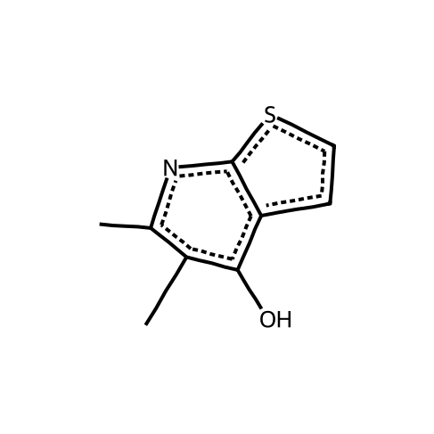 Cc1nc2sccc2c(O)c1C